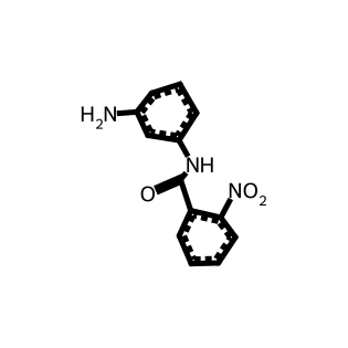 Nc1cccc(NC(=O)c2ccccc2[N+](=O)[O-])c1